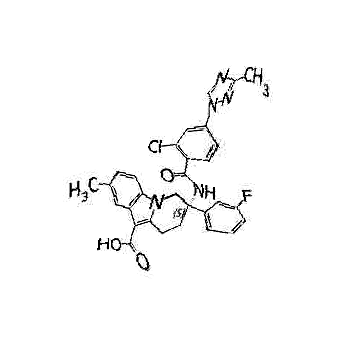 Cc1ccc2c(c1)c(C(=O)O)c1n2C[C@@](NC(=O)c2ccc(-n3cnc(C)n3)cc2Cl)(c2cccc(F)c2)CC1